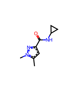 Cc1cc(C(=O)NC2CC2)nn1C